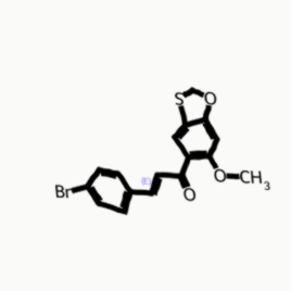 COc1cc2c(cc1C(=O)/C=C/c1ccc(Br)cc1)SCO2